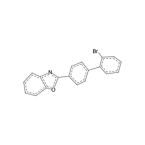 Brc1ccccc1-c1ccc(-c2nc3ccccc3o2)cc1